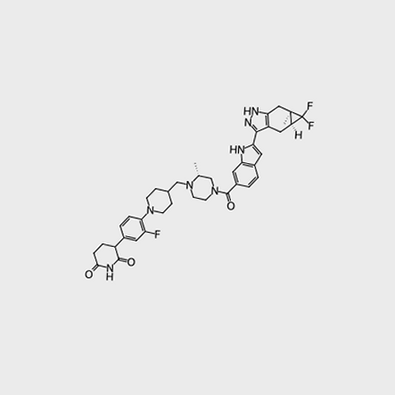 C[C@@H]1CN(C(=O)c2ccc3cc(-c4n[nH]c5c4C[C@@H]4C(F)(F)[C@]4(C)C5)[nH]c3c2)CCN1CC1CCN(c2ccc(C3CCC(=O)NC3=O)cc2F)CC1